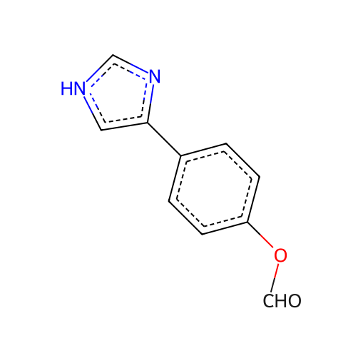 O=COc1ccc(-c2c[nH]cn2)cc1